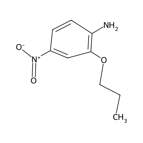 CCCOc1cc([N+](=O)[O-])ccc1N